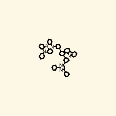 c1ccc(-c2cc(-c3ccc(-n4c5ccccc5c5ccccc54)c(-c4ccc(-c5cccc(N6c7ccccc7B7c8ccccc8N(c8ccccc8)c8cccc6c87)c5)cc4)c3)nc(-c3ccccc3)n2)cc1